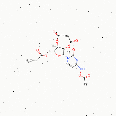 C=CC(=O)OC[C@H]1O[C@@H](n2ccc(NOC(=O)C(C)C)nc2=O)[C@@H]2OC(=O)/C=C\C(=O)O[C@@H]21